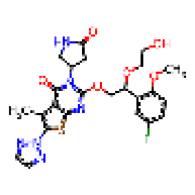 COc1ccc(F)cc1C(COc1nc2sc(-n3nccn3)c(C)c2c(=O)n1C1CNC(=O)C1)OCCO